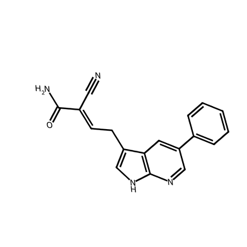 N#C/C(=C\Cc1c[nH]c2ncc(-c3ccccc3)cc12)C(N)=O